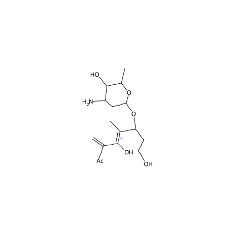 C=C(C(C)=O)/C(O)=C(\C)C(CCO)OC1CC(N)C(O)C(C)O1